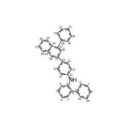 c1ccc(-c2ccccc2Nc2ccc(-c3cc(-c4ccccc4)c4ccccc4c3)cc2)cc1